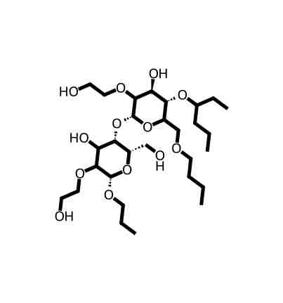 CCCCOCC1O[C@H](O[C@H]2C(O)C(OCCO)[C@@H](OCCC)O[C@H]2CO)C(OCCO)[C@@H](O)[C@@H]1OC(CC)CCC